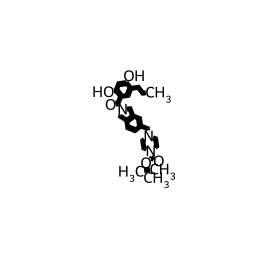 CCCc1cc(C(=O)N2Cc3ccc(CN4CCN(C(=O)OC(C)(C)C)CC4)cc3C2)c(O)cc1O